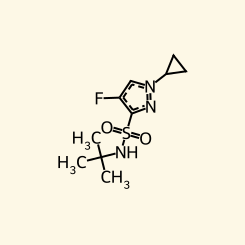 CC(C)(C)NS(=O)(=O)c1nn(C2CC2)cc1F